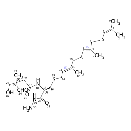 CC(C)=CCC/C(C)=C/CC/C(C)=C/CSC[C@H](NC(=O)C[C@@](C)(C=O)CO)C(=O)NN